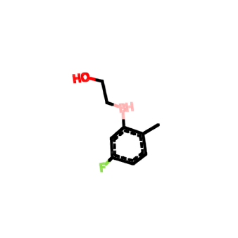 Cc1ccc(F)cc1BCCO